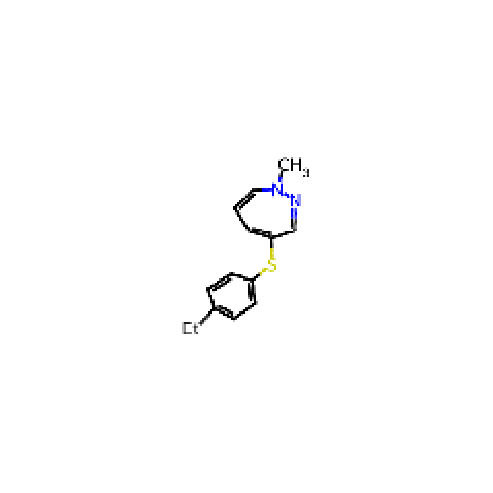 CCc1ccc(SC2=CC=CN(C)N=C2)cc1